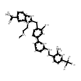 COCCn1c(Cc2ccc(-c3cccc(OCc4ccc(C(F)(F)F)nc4N)n3)cc2F)nc2ccc(C(=O)O)cc21